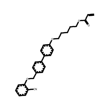 C=CC(=O)OCCCCCOc1ccc(-c2ccc(COc3ccccc3C#N)cc2)cc1